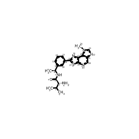 CC(C)[C@@H](N)C(=O)N[C@@H](C)c1cccc(-c2nc3c(ncc4ncn(C)c43)s2)c1